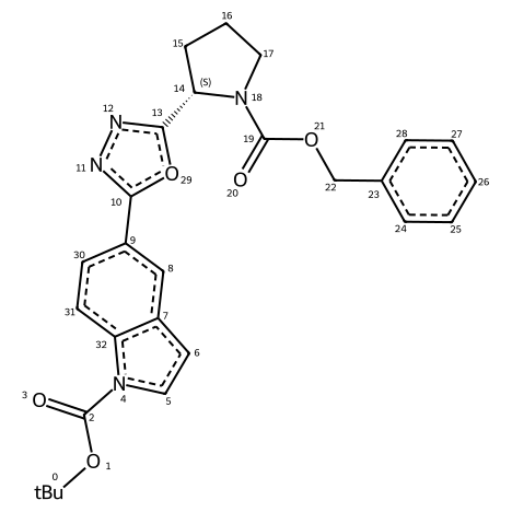 CC(C)(C)OC(=O)n1ccc2cc(-c3nnc([C@@H]4CCCN4C(=O)OCc4ccccc4)o3)ccc21